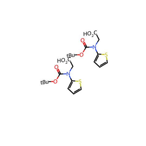 CC(C)(C)OC(=O)N(CC(=O)O)c1cccs1.CC(C)(C)OC(=O)N(CC(=O)O)c1cccs1